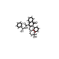 CC[C@H](NC(=O)c1c(CN2CCC(C)(O)CC2)n(-c2ccccc2)c(=O)c2ccccc12)c1ccccc1